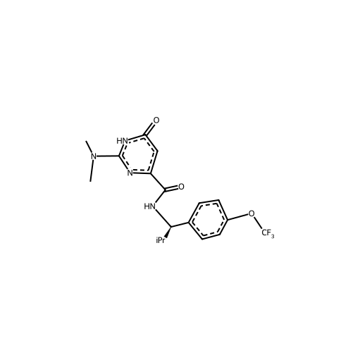 CC(C)[C@@H](NC(=O)c1cc(=O)[nH]c(N(C)C)n1)c1ccc(OC(F)(F)F)cc1